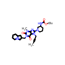 CC#CCn1c(N2CCCC(NC(=O)OC(C)(C)C)C2)nc2c1c(=O)n(Cc1cc3ccccn3c1)c(=O)n2C